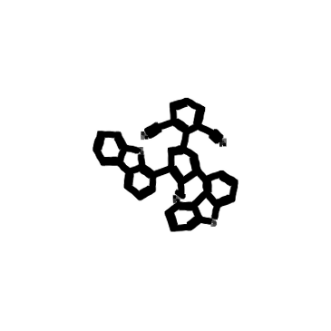 N#Cc1cccc(C#N)c1-c1cc(-c2cccc3c2sc2ccccc23)c(C#N)c(-c2cccc3sc4ccccc4c23)c1